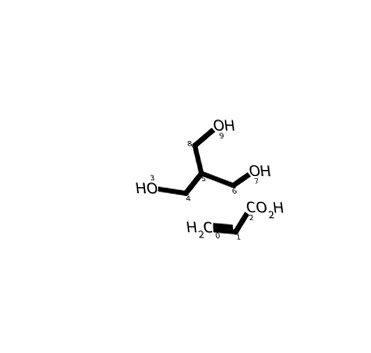 C=CC(=O)O.OCC(CO)CO